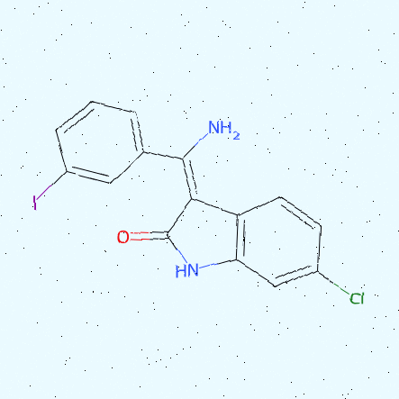 NC(=C1C(=O)Nc2cc(Cl)ccc21)c1cccc(I)c1